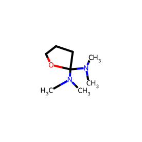 CN(C)C1(N(C)C)CCCO1